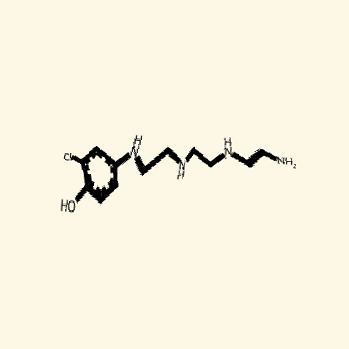 NCCNCCNCCNc1ccc(O)c(Cl)c1